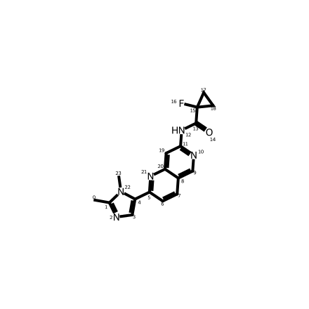 Cc1ncc(-c2ccc3cnc(NC(=O)C4(F)CC4)cc3n2)n1C